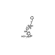 C[C@H](CO)Nc1nc(Nc2csc(S(=O)(=O)NCCSCc3ccccc3)c2)ncc1Br